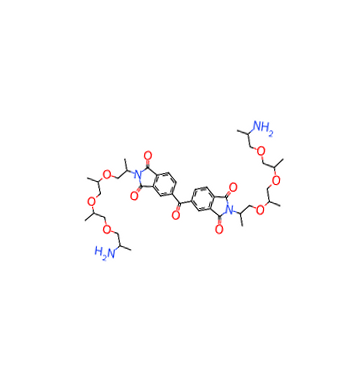 CC(N)COCC(C)OCC(C)OCC(C)N1C(=O)c2ccc(C(=O)c3ccc4c(c3)C(=O)N(C(C)COC(C)COC(C)COCC(C)N)C4=O)cc2C1=O